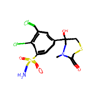 CN1C(=O)SCC1(O)c1cc(Cl)c(Cl)c(S(N)(=O)=O)c1